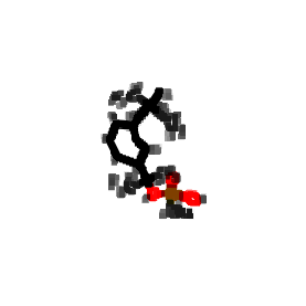 CCC(C)S(=O)(=O)OC(C1CCCC(C(C)(C(F)(F)F)C(F)(F)F)C1)(C(F)(F)F)C(F)(F)F